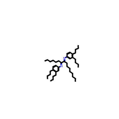 CCCCCCCCC(=Nc1ccc(CCCC)c(CCCC)c1)C(CCCCCC)=Nc1ccc(CCCC)c(CCCC)c1